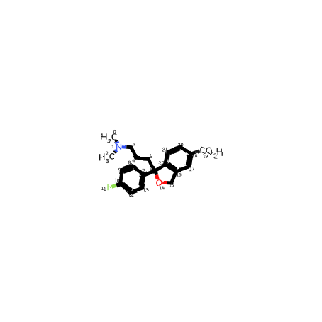 CN(C)CCCC1(c2ccc(F)cc2)OCc2cc(C(=O)O)ccc21